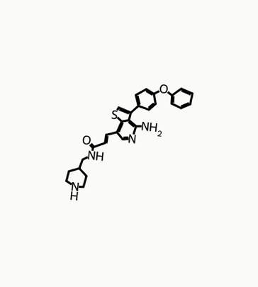 Nc1ncc(C=CC(=O)NCC2CCNCC2)c2scc(-c3ccc(Oc4ccccc4)cc3)c12